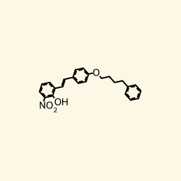 O=[N+]([O-])c1cccc(/C=C/c2ccc(OCCCCc3ccccc3)cc2)c1O